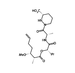 C=CCC[C@@H](OC)[C@@H](C)C(=O)O[C@H](C(=O)N[C@@H](C)C(=O)N1CCC[C@@H](C(=O)O)N1)C(C)C